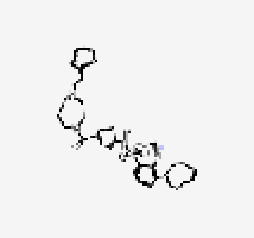 C/C=N\c1c(C2CCCCCC2)cccc1S(=O)(=O)Nc1ccc(C(=O)N2CCCN(CCc3ccccc3)CC2)cc1